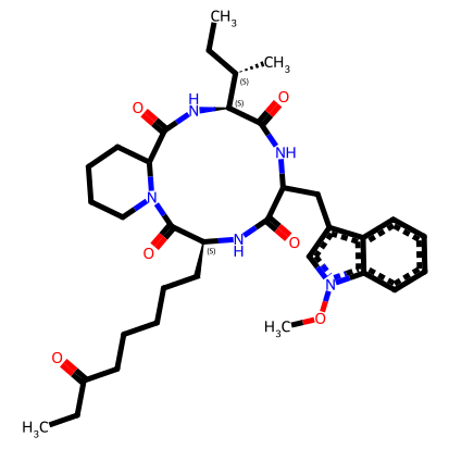 CCC(=O)CCCCC[C@@H]1NC(=O)C(Cc2cn(OC)c3ccccc23)NC(=O)[C@H]([C@@H](C)CC)NC(=O)C2CCCCN2C1=O